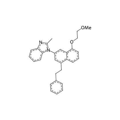 COCCOc1cccc2c(CCc3ccccc3)cc(-n3c(C)nc4ccccc43)cc12